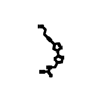 O=C(O)NCc1cnc(-n2cc(C#CCCO)cn2)s1